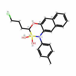 Cc1ccc(N2c3cc4ccccc4cc3OC(CCCCl)S2(O)O)cc1